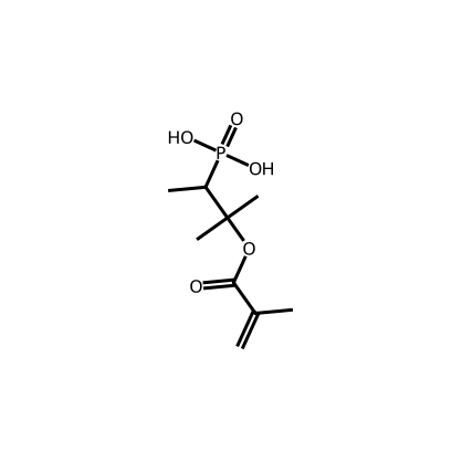 C=C(C)C(=O)OC(C)(C)C(C)P(=O)(O)O